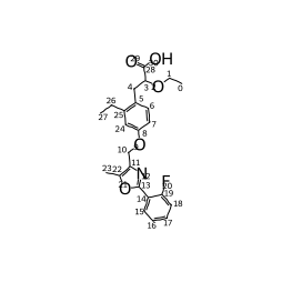 CCOC(Cc1ccc(OCc2nc(-c3ccccc3F)oc2C)cc1CC)C(=O)O